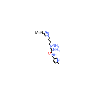 CNc1cn(CCCCN(N)/C=C(\N)C(=O)NCc2ccc(C)nc2)nn1